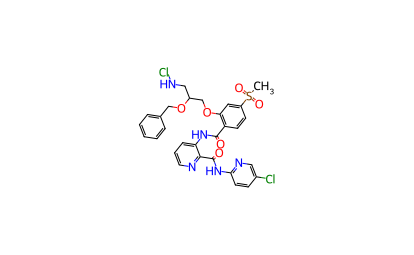 CS(=O)(=O)c1ccc(C(=O)Nc2cccnc2C(=O)Nc2ccc(Cl)cn2)c(OCC(CNCl)OCc2ccccc2)c1